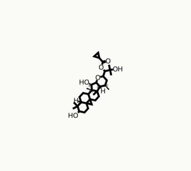 C[C@@H]1CC(C(OC(=O)C2CC2)C(C)(C)O)OC2[C@H]1C1(C)CCC34CC35CCC(O)C(C)(C)[C@@H]5CCC4[C@]1(C)[C@H]2O